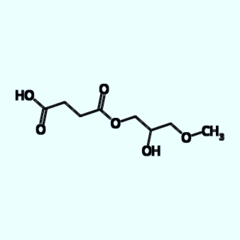 COCC(O)COC(=O)CCC(=O)O